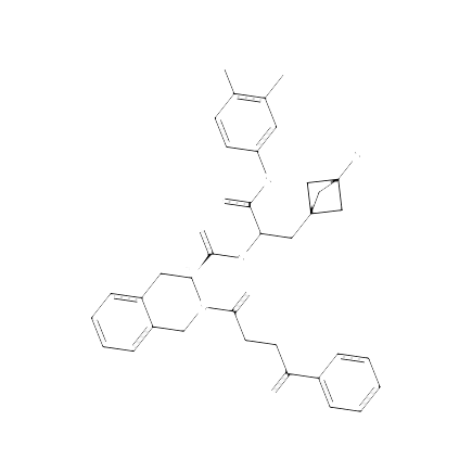 Cc1cc(NC(=O)C(CC23CC(N)(C2)C3)NC(=O)[C@@H]2Cc3ccccc3CN2C(=O)CCC(=O)c2ccccc2)ccc1Cl